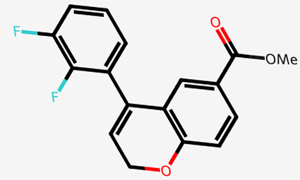 COC(=O)c1ccc2c(c1)C(c1cccc(F)c1F)=CCO2